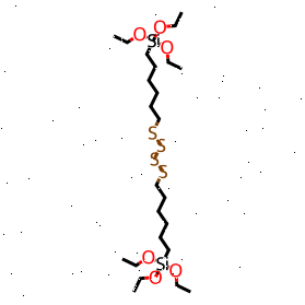 CCO[Si](CCCCCCSSSSCCCCCC[Si](OCC)(OCC)OCC)(OCC)OCC